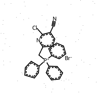 N#Cc1ccc(C[P+](c2ccccc2)(c2ccccc2)c2ccccc2)nc1Cl.[Br-]